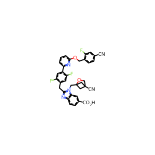 N#Cc1ccc(COc2cccc(-c3cc(F)c(Cc4nc5ccc(C(=O)O)cc5n4CC45CC(C#N)(CO4)C5)cc3F)n2)c(F)c1